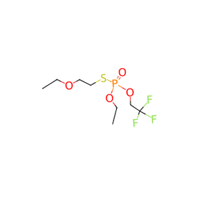 CCOCCSP(=O)(OCC)OCC(F)(F)F